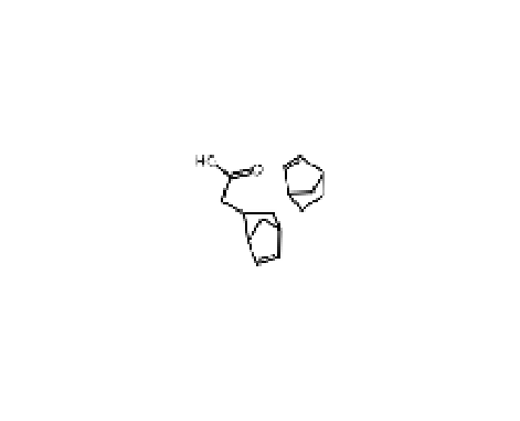 C1=CC2CCC1C2.O=C(O)CC1CC2C=CC1C2